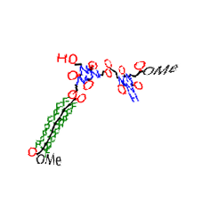 COC(=O)CCn1c(=O)[nH]c(=O)n(CCC(=O)OCCn2c(=O)n(CCO)c(=O)n(CCOC(=O)C(F)(F)C(F)(F)C(F)(F)C(F)(F)C(F)(F)C(F)(F)C(F)(F)C(F)(F)C(=O)OC)c2=O)c1=O